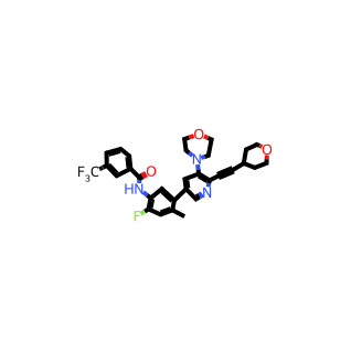 Cc1cc(F)c(NC(=O)c2cccc(C(F)(F)F)c2)cc1-c1cnc(C#CC2CCOCC2)c(N2CCOCC2)c1